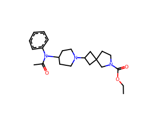 CCOC(=O)N1CCC2(CC(N3CCC(N(C(C)=O)c4ccccc4)CC3)C2)C1